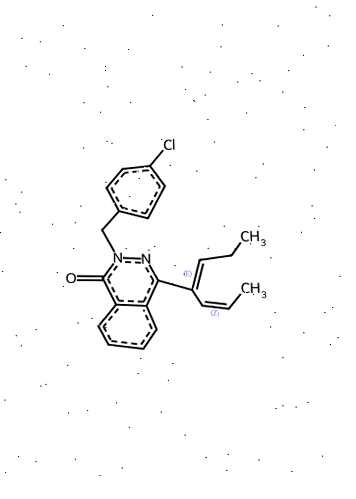 C/C=C\C(=C/CC)c1nn(Cc2ccc(Cl)cc2)c(=O)c2ccccc12